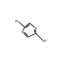 CCCc1cnc(C(C)C)cn1